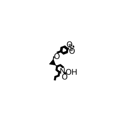 CCCC1CC([C@H]2C[C@H]2COCc2ccc(S(C)(=O)=O)cc2)CCN1C(=O)O